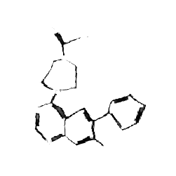 O=C(O)N1CCN(c2ncnc3cc(Cl)c(-c4ccccc4)cc23)CC1